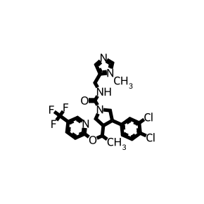 CC(Oc1ccc(C(F)(F)F)cn1)C1CN(C(=O)NCc2cncn2C)CC1c1ccc(Cl)c(Cl)c1